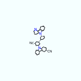 N#Cc1cc(-c2cccc(-n3c4ccccc4c4ncccc43)c2)cc(-n2c3ccccc3c3cc(C#N)ccc32)c1